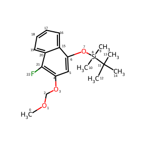 COCOc1cc(O[Si](C)(C)C(C)(C)C)c2ccccc2c1F